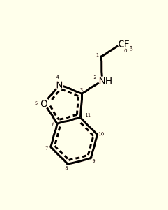 FC(F)(F)CNc1noc2ccccc12